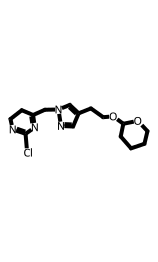 ClC1=NCCC(Cn2cc(CCOC3CCCCO3)cn2)=N1